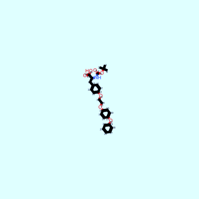 CC(C)(C)OC(=O)NC(Cc1ccc(OCCOc2ccc(Oc3ccccc3)cc2)cc1)C(=O)O